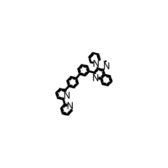 C=Nc1c(N2C=CC=CC2)c(-c2cccc(-c3ccc(-c4cccc(-c5ccccn5)n4)cc3)c2)nc2ccccc12